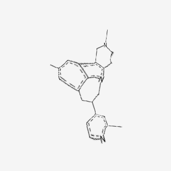 Cc1cc2c3c(c1)c1c(n3CC(c3ccnc(C)c3)C2)CCN(C)C1